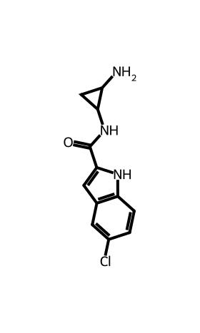 NC1CC1NC(=O)c1cc2cc(Cl)ccc2[nH]1